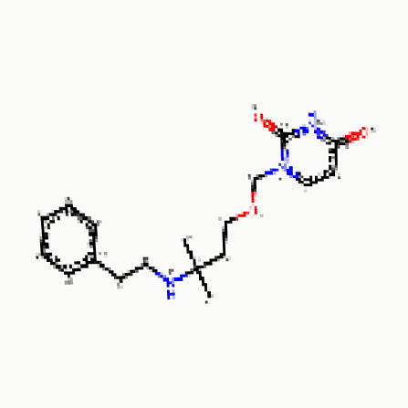 CC(C)(CCOCn1ccc(=O)[nH]c1=O)NCCc1ccccc1